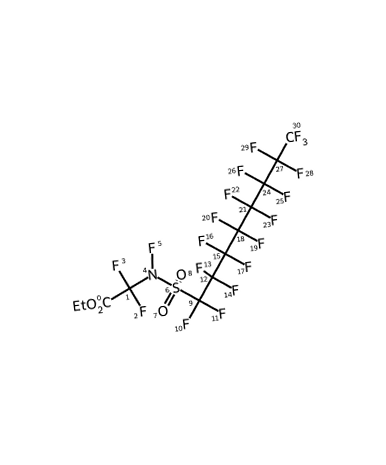 CCOC(=O)C(F)(F)N(F)S(=O)(=O)C(F)(F)C(F)(F)C(F)(F)C(F)(F)C(F)(F)C(F)(F)C(F)(F)C(F)(F)F